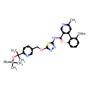 COc1cccc(F)c1-c1cc(C)ncc1C(=O)Nc1nnc(OCc2ccc(C(C)(C)O[Si](C)(C)C(C)(C)C)nc2)s1